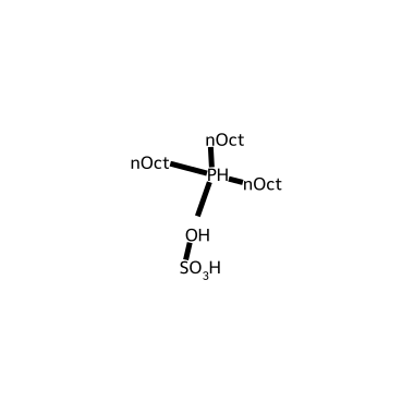 CCCCCCCC[PH](C)(CCCCCCCC)CCCCCCCC.O=S(=O)(O)O